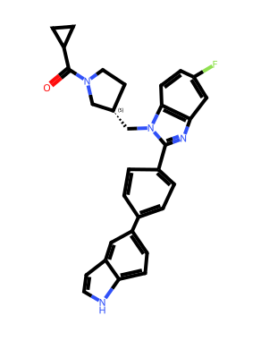 O=C(C1CC1)N1CC[C@H](Cn2c(-c3ccc(-c4ccc5[nH]ccc5c4)cc3)nc3cc(F)ccc32)C1